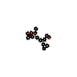 c1ccc(-c2ccc(N(c3ccc(-c4ccc5c(c4)c4cc(-c6cccc7ccccc67)ccc4n5-c4ccc5c6ccccc6c6ccccc6c5c4)cc3)c3ccc4c(c3)C(c3ccccc3)(c3ccccc3)c3ccccc3-4)cc2)cc1